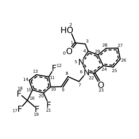 O=C(O)Cc1nn(C/C=C/c2c(F)ccc(C(F)(F)F)c2F)c(=O)c2ccccc12